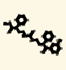 COC(=O)N(CCNC(=O)OCCN(C(=O)c1cncc(Br)c1)c1ccccc1)c1ccccc1